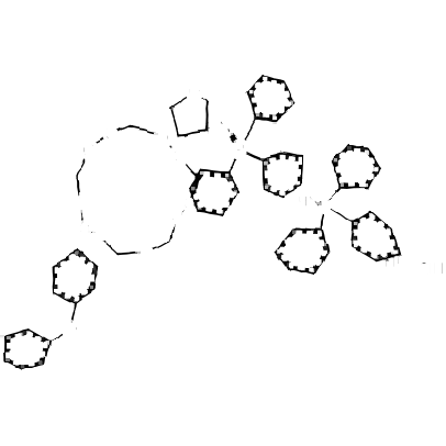 C1CCOC1.C1COCCOCCOCCOCCO1.Cl.Cl.N=P(c1ccccc1)(c1ccccc1)c1ccccc1.N=P(c1ccccc1)(c1ccccc1)c1ccccc1.c1ccc(Oc2ccccc2)cc1